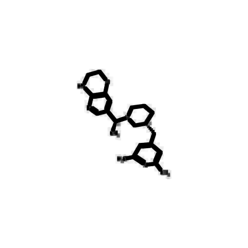 Cc1cc(C[C@H]2CCCN([C@@H](C)c3cnc4c(c3)OCCN4)C2)cc(C)n1